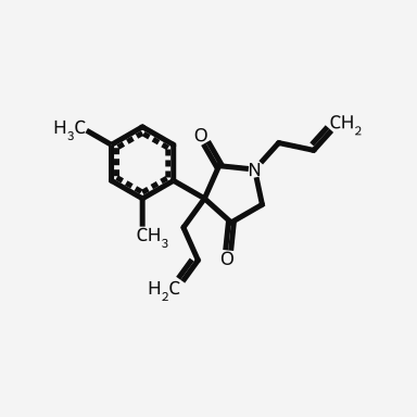 C=CCN1CC(=O)C(CC=C)(c2ccc(C)cc2C)C1=O